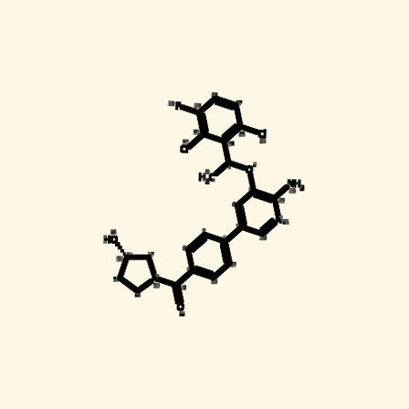 CC(Oc1cc(-c2ccc(C(=O)N3CC[C@H](O)C3)cc2)cnc1N)c1c(Cl)ccc(F)c1Cl